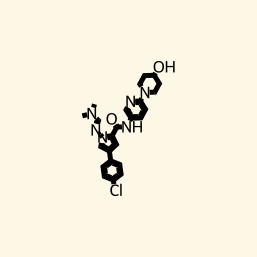 CN(C)C=Nn1cc(-c2ccc(Cl)cc2)cc1C(=O)Nc1ccc(N2CCC(O)CC2)nc1